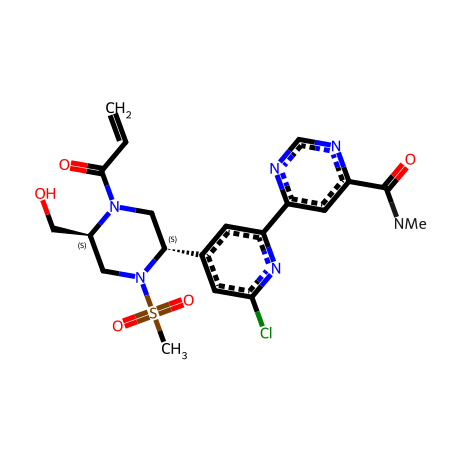 C=CC(=O)N1C[C@H](c2cc(Cl)nc(-c3cc(C(=O)NC)ncn3)c2)N(S(C)(=O)=O)C[C@H]1CO